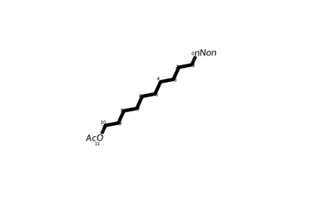 CCCCCCCCCCCCCCCCCC[CH]OC(C)=O